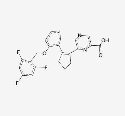 O=C(O)c1cncc(C2=C(c3ccccc3OCc3c(F)cc(F)cc3F)CCC2)n1